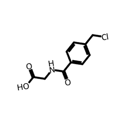 O=C(O)CNC(=O)c1ccc(CCl)cc1